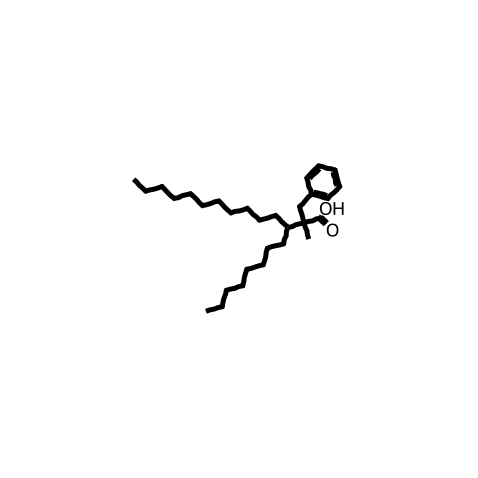 CCCCCCCCCCCC(CCCCCCCC)C(C)(Cc1ccccc1)C(=O)O